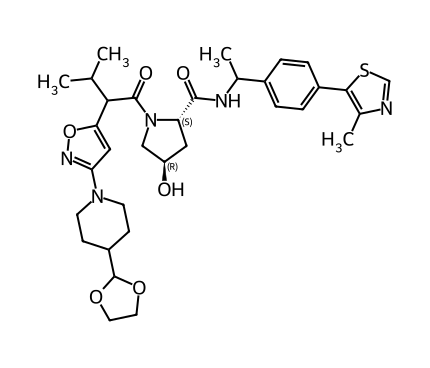 Cc1ncsc1-c1ccc(C(C)NC(=O)[C@@H]2C[C@@H](O)CN2C(=O)C(c2cc(N3CCC(C4OCCO4)CC3)no2)C(C)C)cc1